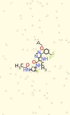 CCC(=O)N[C@@H]1C[C@@H](F)[C@H](NC(=O)c2c(C)[nH]c3c(-c4cc(C(F)F)ccc4OCC4CC4)ncnc23)C1